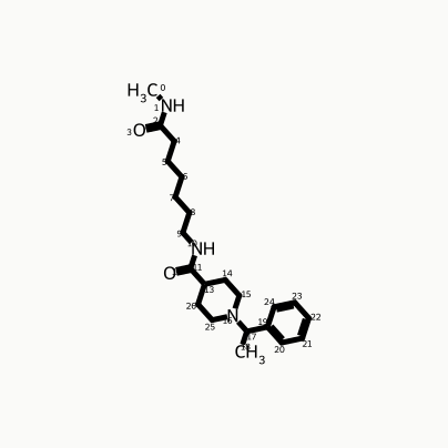 CNC(=O)CCCCCCNC(=O)C1CCN(C(C)c2ccccc2)CC1